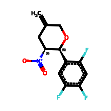 C=C1CO[C@@H](c2cc(F)c(F)cc2F)[C@H]([N+](=O)[O-])C1